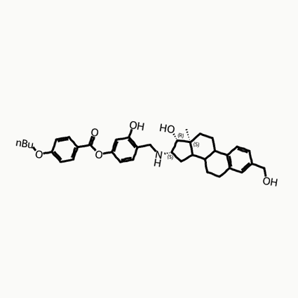 CCCCOc1ccc(C(=O)Oc2ccc(CN[C@H]3CC4C5CCc6cc(CO)ccc6C5CC[C@]4(C)[C@H]3O)c(O)c2)cc1